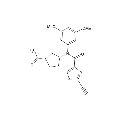 C#Cc1nc(C(=O)N(c2cc(OC)cc(OC)c2)[C@@H]2CCN(C(=O)C(F)(F)F)C2)cs1